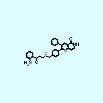 Nc1ccccc1C(=O)CCNCc1ccc(-c2nc3cc[nH]c(=O)c3cc2-c2ccccc2)cc1